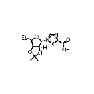 CC[C@H]1O[C@@H](n2cnc(C(N)=O)n2)[C@H]2OC(C)(C)OC12